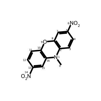 CN1c2ccc([N+](=O)[O-])cc2Oc2ccc([N+](=O)[O-])cc21